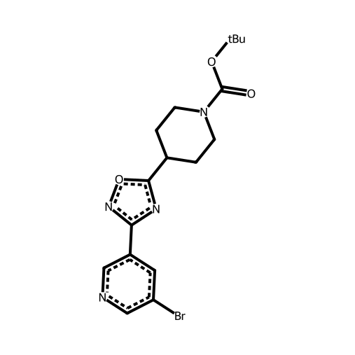 CC(C)(C)OC(=O)N1CCC(c2nc(-c3cncc(Br)c3)no2)CC1